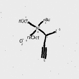 C#CC(I)[N+](CCCC)(CCCCCCCC)CCCCCCCC.[Cl-]